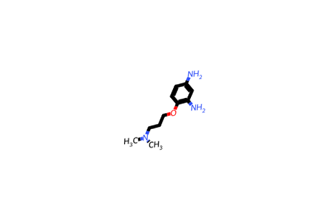 CN(C)CCCOc1ccc(N)cc1N